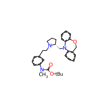 CN(C(=O)OC(C)(C)C)c1cccc(CCN2CCC[C@@H]2CN2c3ccccc3COc3ccccc32)c1